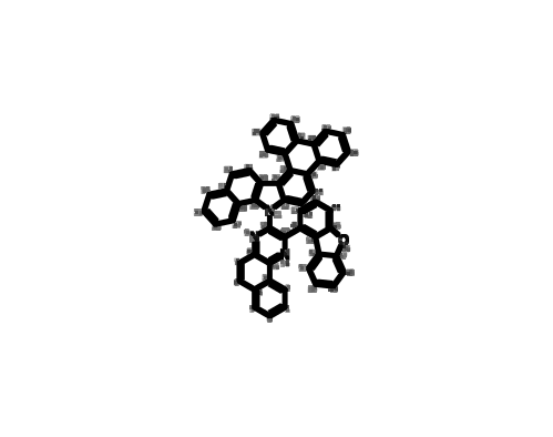 c1ccc2c(c1)ccc1nc(-n3c4ccc5c6ccccc6c6ccccc6c5c4c4ccc5ccccc5c43)c(-c3cccc4oc5ccccc5c34)nc12